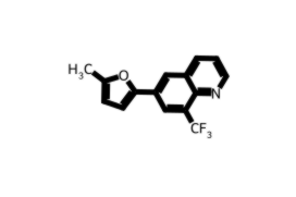 Cc1ccc(-c2cc(C(F)(F)F)c3ncccc3c2)o1